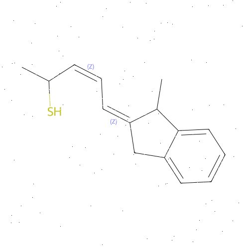 CC(S)/C=C\C=C1\Cc2ccccc2C1C